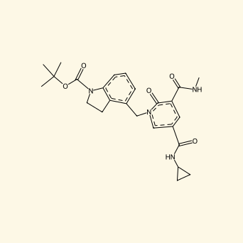 CNC(=O)c1cc(C(=O)NC2CC2)cn(Cc2cccc3c2CCN3C(=O)OC(C)(C)C)c1=O